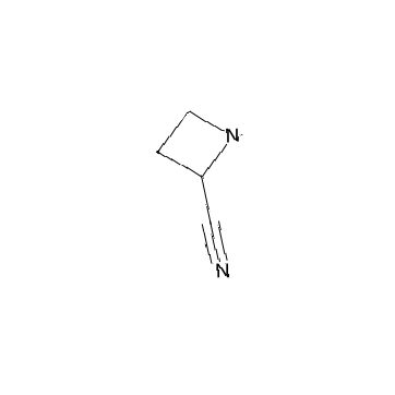 N#CC1CC[N]1